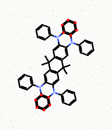 CC1(C)c2cc(N(c3ccccc3)c3ccccc3)c(N(c3ccccc3)c3ccccc3)cc2C(C)(C)c2cc(N(c3ccccc3)c3ccccc3)c(N(c3ccccc3)c3ccccc3)cc21